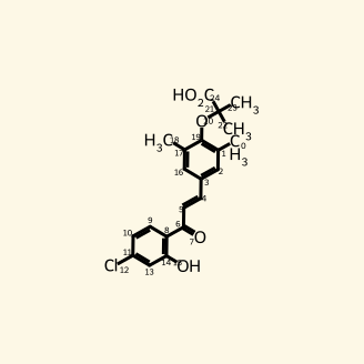 Cc1cc(/C=C/C(=O)c2ccc(Cl)cc2O)cc(C)c1OC(C)(C)C(=O)O